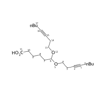 CCCCC#CCCOC(CCCCC(=O)O)OCCC#CCCCC